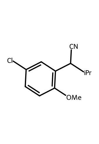 COc1ccc(Cl)cc1C(C#N)C(C)C